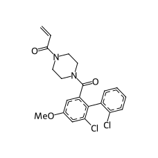 C=CC(=O)N1CCN(C(=O)c2cc(OC)cc(Cl)c2-c2ccccc2Cl)CC1